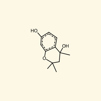 CC1(C)CC(C)(O)c2ccc(O)cc2O1